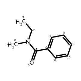 [CH2]N(CC)C(=O)c1ccccc1